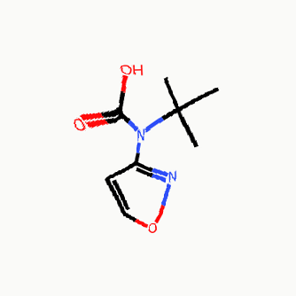 CC(C)(C)N(C(=O)O)c1ccon1